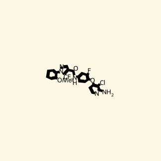 COc1ccccc1-n1ncc(C(=O)Nc2ccc(Oc3ccnc(N)c3Cl)c(F)c2)c1C(F)(F)F